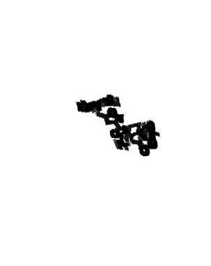 CCCCN(CCCC)Cc1cc(C(=O)N2CC[C@H]3[C@H]2[C@@H](C(C)C)C(=O)N3S(C)(=O)=O)no1